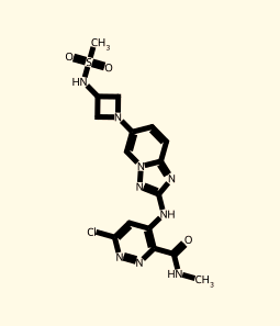 CNC(=O)c1nnc(Cl)cc1Nc1nc2ccc(N3CC(NS(C)(=O)=O)C3)cn2n1